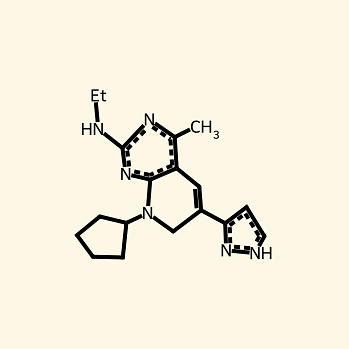 CCNc1nc(C)c2c(n1)N(C1CCCC1)CC(c1cc[nH]n1)=C2